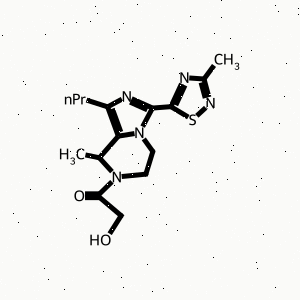 CCCc1nc(-c2nc(C)ns2)n2c1C(C)N(C(=O)CO)CC2